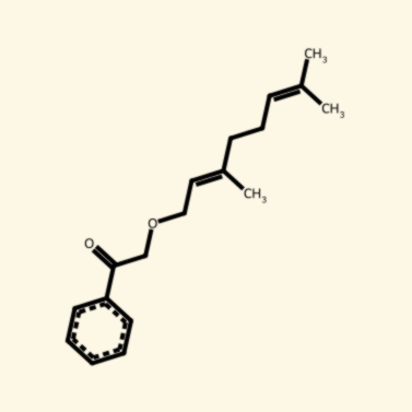 CC(C)=CCC/C(C)=C/COCC(=O)c1ccccc1